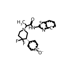 CC(C(=O)Nc1nc2ccccc2s1)N1CCC(F)(F)[C@@H](c2cc[n+]([O-])cc2)C1